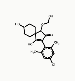 Cc1cc(Cl)cc(C)c1C1=C(O)C2(CCN(O)CC2)N(OCO)C1=O